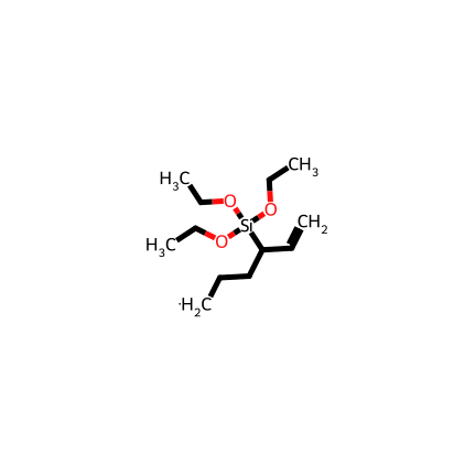 [CH2]CCC(C=C)[Si](OCC)(OCC)OCC